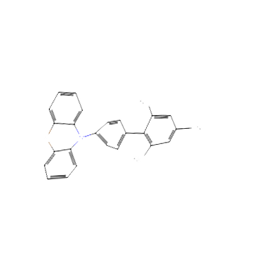 N#Cc1cc(C#N)c(-c2ccc(N3c4ccccc4Sc4ccccc43)cc2)c(C#N)c1